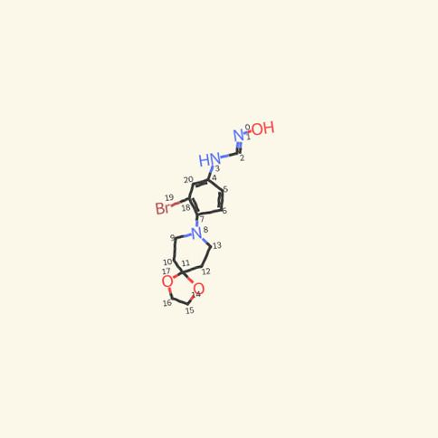 O/N=C/Nc1ccc(N2CCC3(CC2)OCCO3)c(Br)c1